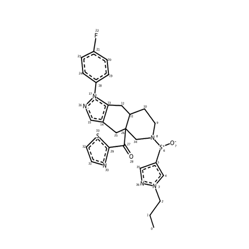 CCCn1cc([S+]([O-])N2CCC3Cc4c(cnn4-c4ccc(F)cc4)CC3(C(=O)c3nccs3)C2)cn1